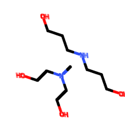 CN(CCO)CCO.OCCCNCCCO